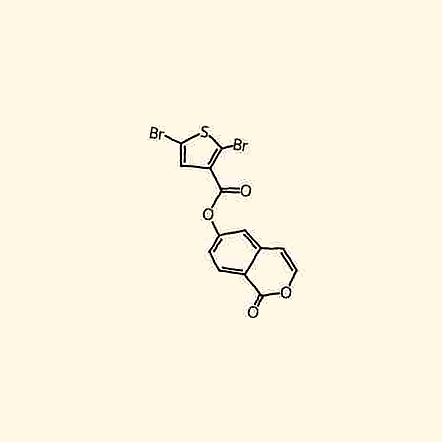 O=C(Oc1ccc2c(=O)occc2c1)c1cc(Br)sc1Br